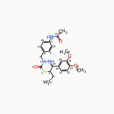 CCC1SC(=O)N(Cc2ccc(NC(C)=O)cc2)N=C1c1ccc(OC)c(OC)c1